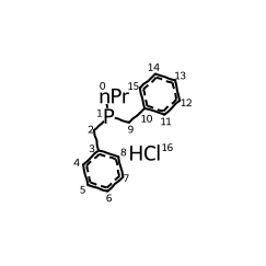 CCCP(Cc1ccccc1)Cc1ccccc1.Cl